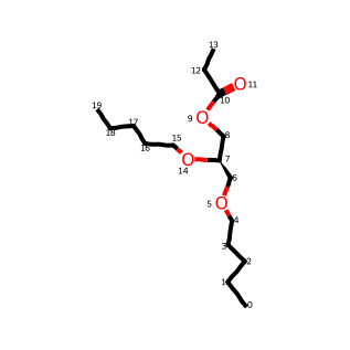 CCCCCOC[C@H](COC(=O)CC)OCCCCC